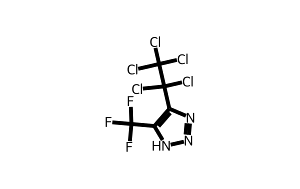 FC(F)(F)c1[nH]nnc1C(Cl)(Cl)C(Cl)(Cl)Cl